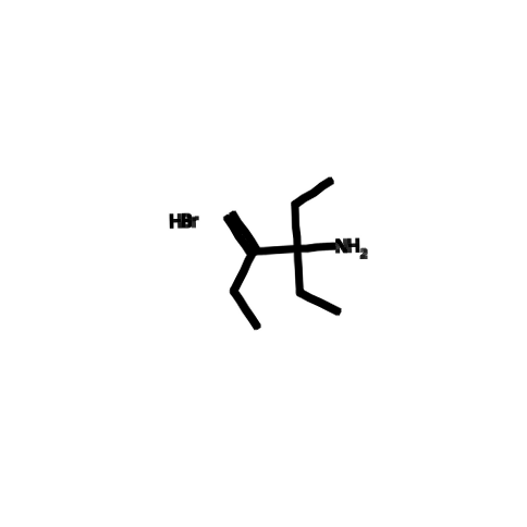 Br.C=C(CC)C(N)(CC)CC